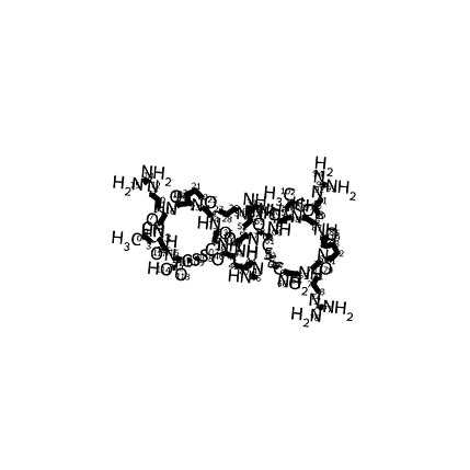 CC(C)C[C@@H]1NC(=O)[C@H](CCCN=C(N)N)NC(=O)[C@@H]2CCCN2C(=O)[C@H](CCCN=C(N)N)NC(=O)[C@@H](NC(=O)[C@H](Cc2cnc[nH]2)NC(=O)[C@H](CCCCN)NC(=O)[C@@H]2CSSC[C@H](N)C(=O)N[C@@H](CCCN=C(N)N)C(=O)N3CCC[C@H]3C(=O)N[C@@H](CCCN=C(N)N)C(=O)N[C@@H](CC(C)C)C(=O)N2)CSSC[C@@H](C(=O)O)NC1=O